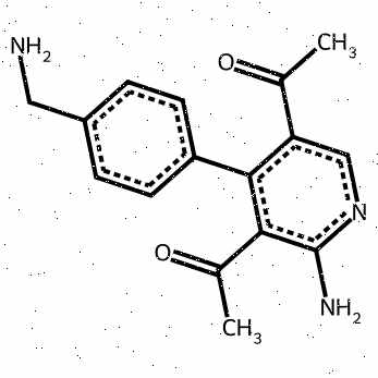 CC(=O)c1cnc(N)c(C(C)=O)c1-c1ccc(CN)cc1